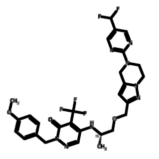 COc1ccc(Cn2ncc(N[C@@H](C)COCc3cc4n(n3)CCN(c3ncc(C(F)F)cn3)C4)c(C(F)(F)F)c2=O)cc1